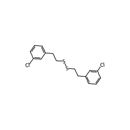 Clc1cccc(CCSSCCc2cccc(Cl)c2)c1